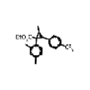 CCOC(=O)C1(c2ccc(C)cc2C)C(C)=C1c1ccc(C(F)(F)F)cc1